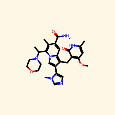 COc1cc(C)[nH]c(=O)c1Cc1c(-c2cncn2C)cn2c(C(C)N3CCOCC3)c(C)c(C(N)=O)cc12